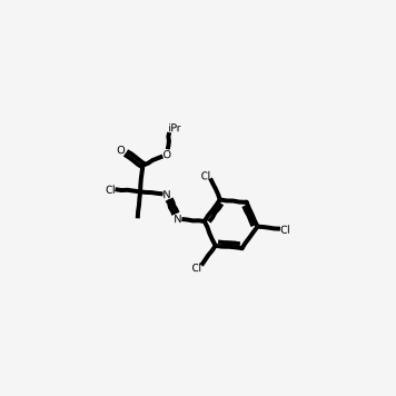 CC(C)OC(=O)C(C)(Cl)N=Nc1c(Cl)cc(Cl)cc1Cl